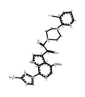 COc1cnc(-n2cnc(C)n2)c2[nH]cc(C(=O)C(=O)N3CCN(c4ncccc4I)CC3)c12